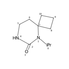 CC(C)N1C(=O)NCCC12CCC2